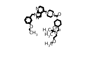 CCOc1cccc(Cn2ncc3c(N4CCN(C(=O)[C@H]5CC[C@H](CN(CCOC)C(C)(C)C)CC5)CC4)ccnc32)c1